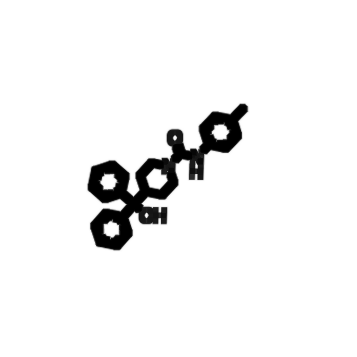 Cc1ccc(NC(=O)N2CCC(C(O)(c3ccccc3)c3ccccc3)CC2)cc1